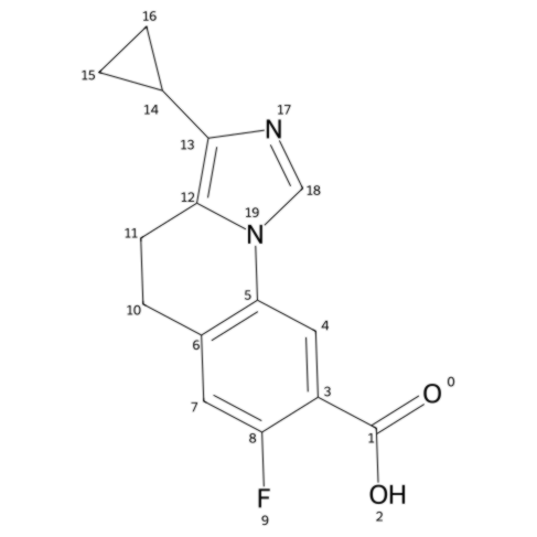 O=C(O)c1cc2c(cc1F)CCc1c(C3CC3)ncn1-2